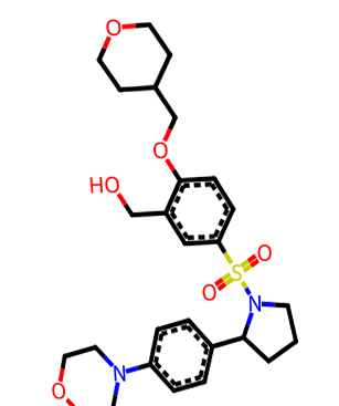 O=S(=O)(c1ccc(OCC2CCOCC2)c(CO)c1)N1CCCC1c1ccc(N2CCOCC2)cc1